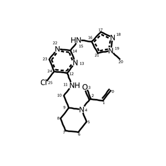 C=CC(=O)N1CCCCC1CNc1nc(Nc2cnn(C)c2)ncc1Cl